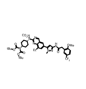 CCc1cc(-c2cc(NC(=O)Cc3cc(C(F)(F)F)ccc3OC)nn2C)cc2cnc(N(C(=O)O)[C@H]3CC[C@H](N(C(=O)OC(C)(C)C)C(=O)OC(C)(C)C)CC3)nc12